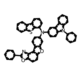 c1ccc(-c2nc3c(ccc4oc5cc(N(c6ccc7c(c6)c6ccccc6n7-c6ccccc6)c6cccc7c6sc6ccccc67)ccc5c43)o2)cc1